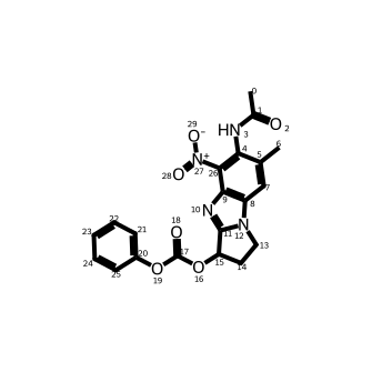 CC(=O)Nc1c(C)cc2c(nc3n2CCC3OC(=O)Oc2ccccc2)c1[N+](=O)[O-]